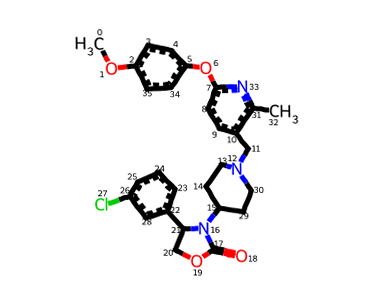 COc1ccc(Oc2ccc(CN3CCC(N4C(=O)OCC4c4cccc(Cl)c4)CC3)c(C)n2)cc1